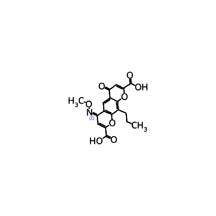 CCCc1c2oc(C(=O)O)cc(=O)c2cc2/c(=N\OC)cc(C(=O)O)oc12